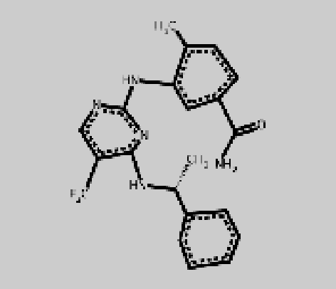 Cc1ccc(C(N)=O)cc1Nc1ncc(C(F)(F)F)c(N[C@H](C)c2ccccc2)n1